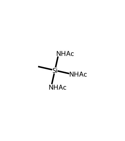 CC(=O)N[Si](C)(NC(C)=O)NC(C)=O